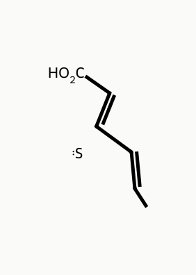 CC=CC=CC(=O)O.[S]